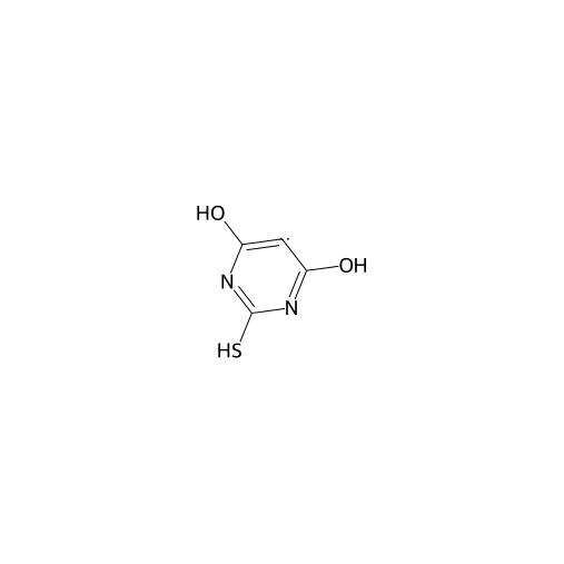 Oc1[c]c(O)nc(S)n1